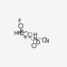 C[C@H]1C2=CNN(c3ccc(F)cc3)C2=CC2=C1[C@@H](CC(NC(=O)Cc1ccncc1)c1ccccc1)CC2